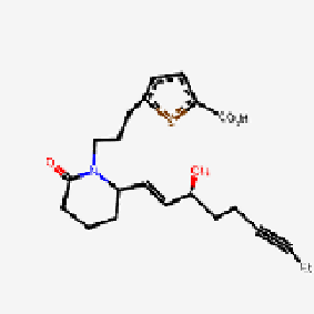 CCC#CCC[C@H](O)/C=C/C1CCCC(=O)N1CCCc1ccc(C(=O)O)s1